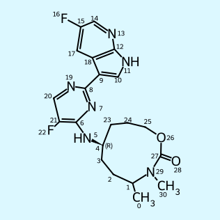 CC1CC[C@@H](Nc2nc(-c3c[nH]c4ncc(F)cc34)ncc2F)CCCOC(=O)N1C